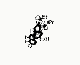 CCC(=O)O[C@@]1(C)C[C@H]2[C@@H]3C[C@H](F)C4=C(F)C(=O)C=C[C@]4(C)[C@@]3(F)[C@@H](O)C[C@]2(C)[C@H]1C(=O)OC(C)C